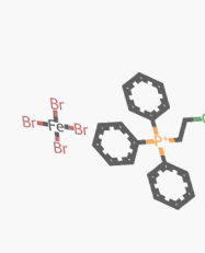 ClCC[P+](c1ccccc1)(c1ccccc1)c1ccccc1.[Br][Fe-]([Br])([Br])[Br]